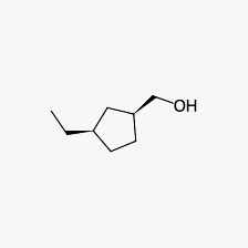 CC[C@@H]1CC[C@H](CO)C1